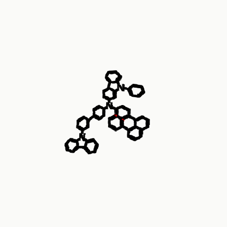 c1ccc(-c2cccc3cccc(-c4ccc(N(c5ccc(-c6cccc(-n7c8ccccc8c8ccccc87)c6)cc5)c5ccc6c7ccccc7n(-c7ccccc7)c6c5)cc4)c23)cc1